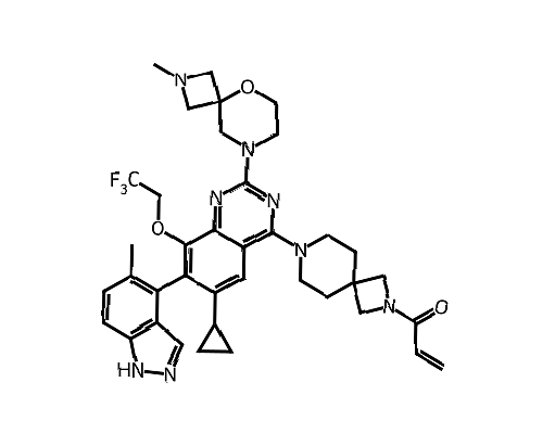 C=CC(=O)N1CC2(CCN(c3nc(N4CCOC5(CN(C)C5)C4)nc4c(OCC(F)(F)F)c(-c5c(C)ccc6[nH]ncc56)c(C5CC5)cc34)CC2)C1